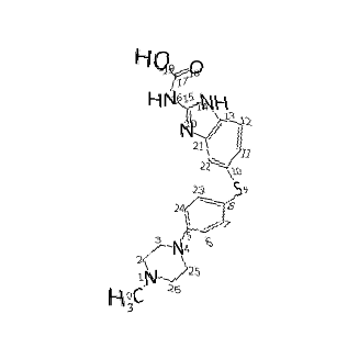 CN1CCN(c2ccc(Sc3ccc4[nH]c(NC(=O)O)nc4c3)cc2)CC1